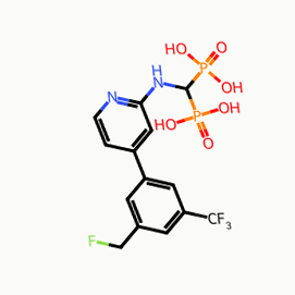 O=P(O)(O)C(Nc1cc(-c2cc(CF)cc(C(F)(F)F)c2)ccn1)P(=O)(O)O